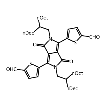 CCCCCCCCCCC(CCCCCCCC)CN1C(=O)C2=C(c3ccc(C=O)s3)N(CC(CCCCCCCC)CCCCCCCCCC)C(=O)C2=C1c1ccc(C=O)s1